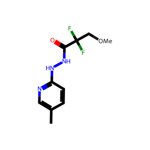 COCC(F)(F)C(=O)NNc1ccc(C)cn1